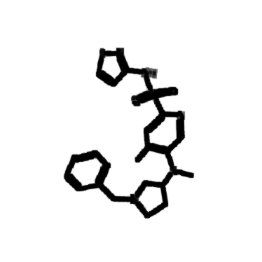 Cc1cc(S(=O)(=O)Nc2ccsn2)ncc1N(C)C1CCN(Cc2ccccc2)C1